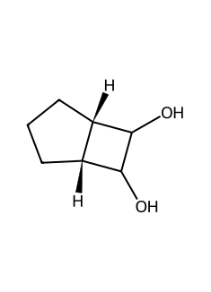 OC1C(O)[C@@H]2CCC[C@H]12